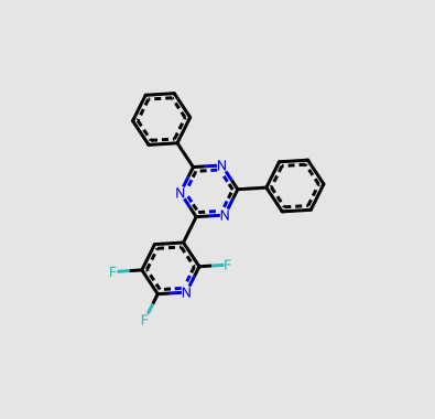 Fc1cc(-c2nc(-c3ccccc3)nc(-c3ccccc3)n2)c(F)nc1F